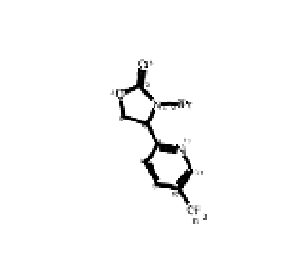 CC(C)N1C(=O)OCC1c1ccc(C(F)(F)F)cn1